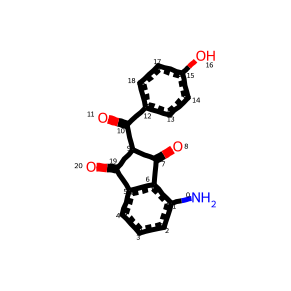 Nc1cccc2c1C(=O)C(C(=O)c1ccc(O)cc1)C2=O